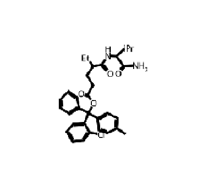 CCC(CCC(=O)OC(c1ccccc1)(c1ccc(C)cc1)c1ccccc1Cl)C(=O)NC(C(N)=O)C(C)C